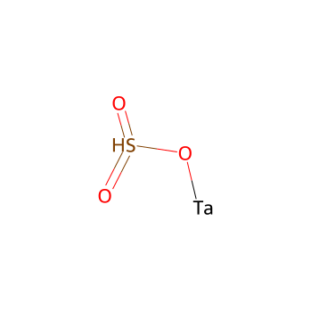 O=[SH](=O)[O][Ta]